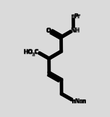 CCCCCCCCCCC=CC(CC(=O)NCCC)C(=O)O